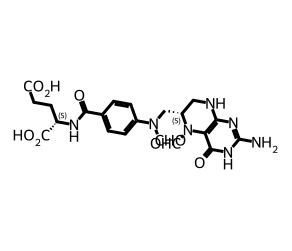 Nc1nc2c(c(=O)[nH]1)N(C=O)[C@H](CN(C=O)c1ccc(C(=O)N[C@@H](CCC(=O)O)C(=O)O)cc1)CN2